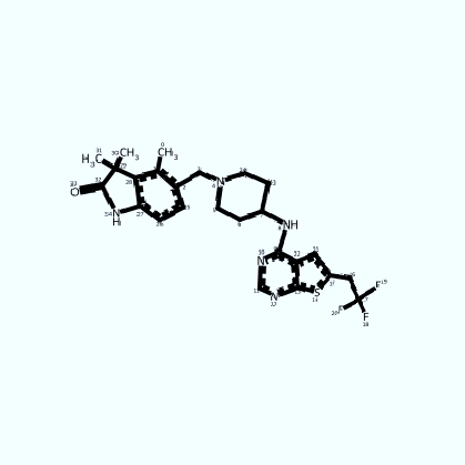 Cc1c(CN2CCC(Nc3ncnc4sc(CC(F)(F)F)cc34)CC2)ccc2c1C(C)(C)C(=O)N2